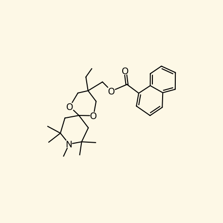 CCC1(COC(=O)c2cccc3ccccc23)COC2(CC(C)(C)N(C)C(C)(C)C2)OC1